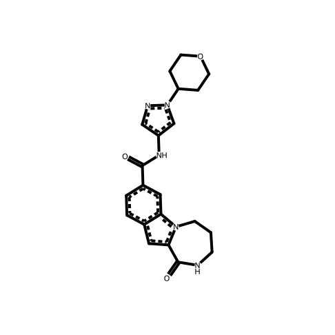 O=C(Nc1cnn(C2CCOCC2)c1)c1ccc2cc3n(c2c1)CCCNC3=O